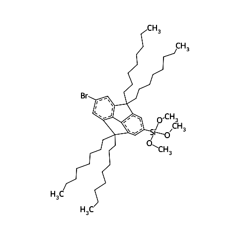 CCCCCCCCC1(CCCCCCCC)c2cc(Br)cc3c2-c2c1cc([Si](OC)(OC)OC)cc2C3(CCCCCCCC)CCCCCCCC